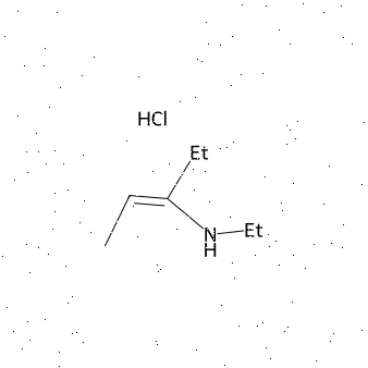 C/C=C(/CC)NCC.Cl